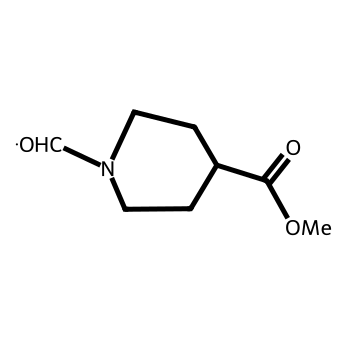 COC(=O)C1CCN([C]=O)CC1